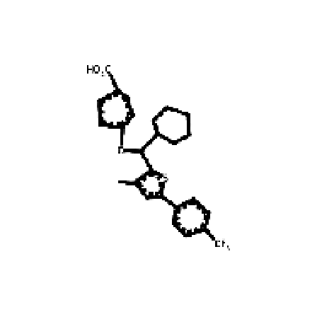 Cc1cc(-c2ccc(C(F)(F)F)cc2)sc1C(Oc1ccc(C(=O)O)cc1)C1CCCCC1